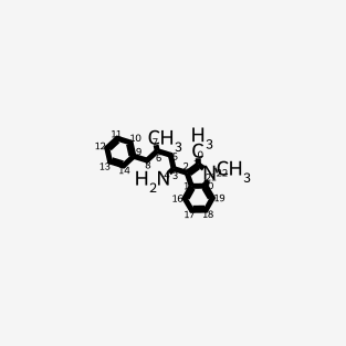 Cc1c(C(N)CC(C)Cc2ccccc2)c2ccccc2n1C